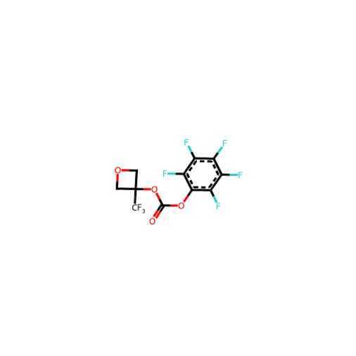 O=C(Oc1c(F)c(F)c(F)c(F)c1F)OC1(C(F)(F)F)COC1